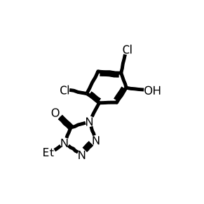 CCn1nnn(-c2cc(O)c(Cl)cc2Cl)c1=O